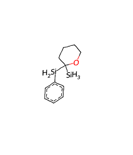 [SiH3]C1([SiH2]c2ccccc2)CCCCO1